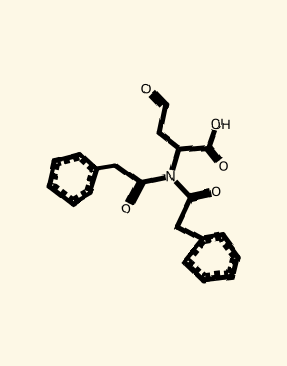 O=CCC(C(=O)O)N(C(=O)Cc1ccccc1)C(=O)Cc1ccccc1